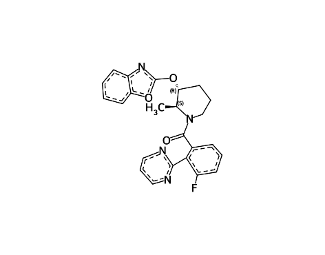 C[C@H]1[C@H](Oc2nc3ccccc3o2)CCCN1C(=O)c1cccc(F)c1-c1ncccn1